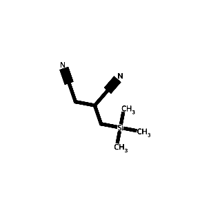 C[Si](C)(C)CC(C#N)CC#N